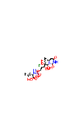 C[C@H](NP(=O)(O)OC[C@H](F)[C@@H](O)[C@@](C)(O)[C@@H](O)n1ccc(=O)[nH]c1=O)C(=O)O